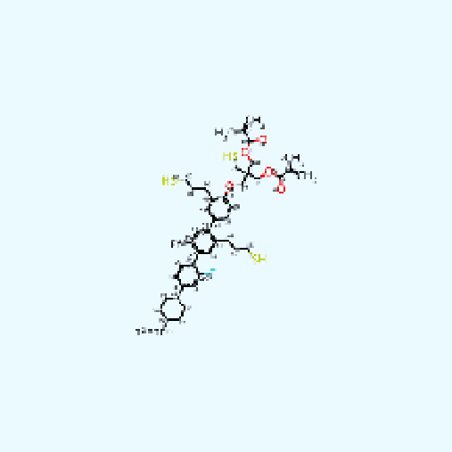 C=C(C)C(=O)OCC(CS)(COC(=O)C(=C)C)COc1ccc(-c2cc(CC)c(-c3ccc(C4CCC(CCCCC)CC4)cc3F)cc2CCCS)cc1CCCS